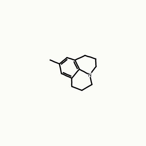 Cc1cc2c3c(c1)CCCN3CCC2